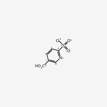 O=C(O)c1ccc(S(=O)(=O)Cl)nc1